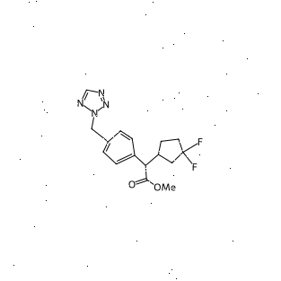 COC(=O)C(c1ccc(Cn2ncnn2)cc1)C1CCC(F)(F)C1